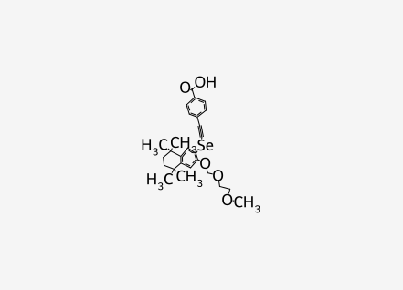 COCCOCOc1cc2c(cc1[Se]C#Cc1ccc(C(=O)O)cc1)C(C)(C)CCC2(C)C